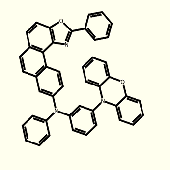 c1ccc(-c2nc3c(ccc4ccc5cc(N(c6ccccc6)c6cccc(N7c8ccccc8Oc8ccccc87)c6)ccc5c43)o2)cc1